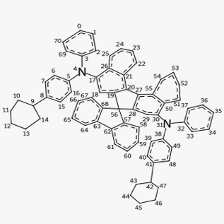 c1ccc(N(c2ccc(C3CCCCC3)cc2)c2cc3c(c4ccccc24)-c2c(cc(N(c4ccccc4)c4ccc(C5CCCCC5)cc4)c4ccccc24)C32c3ccccc3-c3ccccc32)cc1